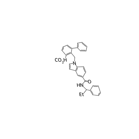 CCC(NC(=O)c1ccc2c(ccn2Cc2c(C(=O)O)cccc2-c2ccccc2)c1)c1ccccc1